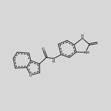 C=C1Nc2ccc(NC(=O)c3coc4ccccc34)cc2N1